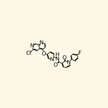 O=C(Nc1ccc(Oc2ccnc3cnc(Cl)cc23)cn1)c1cccn(-c2ccc(F)cc2)c1=O